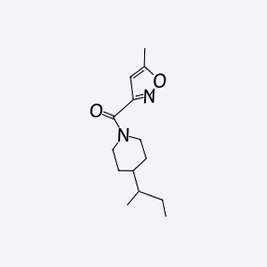 CCC(C)C1CCN(C(=O)c2cc(C)on2)CC1